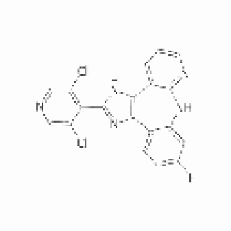 Fc1ccc2c(c1)Nc1ncccc1-c1[nH]c(-c3c(Cl)cncc3Cl)nc1-2